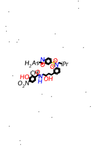 Cc1c(C(=O)NCC(O)CCc2cccc(N(CC(C)C)S(=O)(=O)c3ccc4nc([AsH2])oc4c3)c2)ccc([N+](=O)[O-])c1O